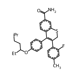 CCC(CCC(C)C)Oc1ccc(C2=C(c3ccc(C)cc3F)CSc3cc(C(N)=O)ccc32)cc1